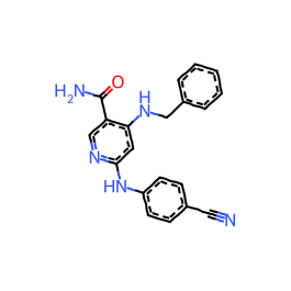 N#Cc1ccc(Nc2cc(NCc3ccccc3)c(C(N)=O)cn2)cc1